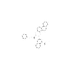 O=C(O)c1nc([C@H]2Cc3c(ccc4c3ccc3ccccc34)CC2C(=O)OCc2ccccc2)cc2ccccc12